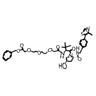 Cc1ncsc1-c1ccc(CNC(=O)[C@@H]2C[C@@H](O)CN2C(=O)[C@@H](NC(=O)COCCOCCOCC(=O)OCc2ccccc2)C(C)(C)C)cc1